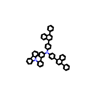 c1ccc(-c2ccc(-c3ccc(N(c4ccc(-c5ccc(-c6ccccc6)c6ccccc56)cc4)c4cccc(-c5ccccc5-n5c6ccccc6c6ccccc65)c4)cc3)c3ccccc23)cc1